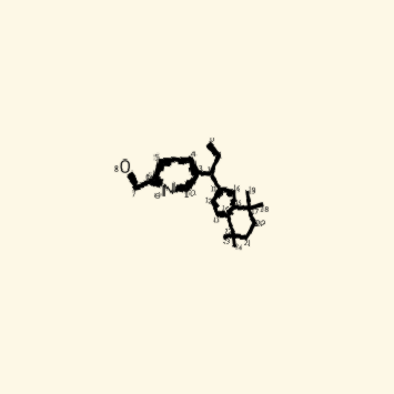 C=CC(c1ccc(C=O)nc1)c1ccc2c(c1)C(C)(C)CCC2(C)C